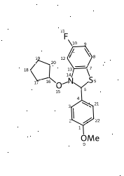 COc1ccc(C2Sc3ccc(F)cc3N2OC2CCCC2)cc1